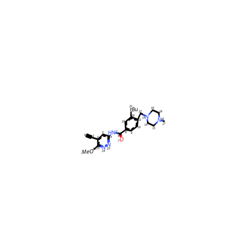 C#Cc1cc(NC(=O)c2ccc(CN3CCN(C)CC3)c(C(C)(C)C)c2)nnc1OC